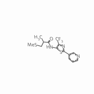 CSCC(C)C(=O)Nc1sc(-c2cccnc2)nc1C(F)(F)F